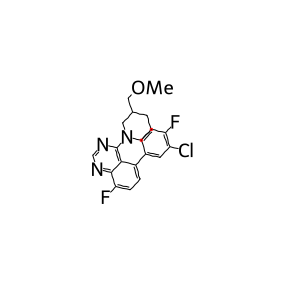 COCC1CCCN(c2ncnc3c(F)ccc(-c4ccc(F)c(Cl)c4)c23)C1